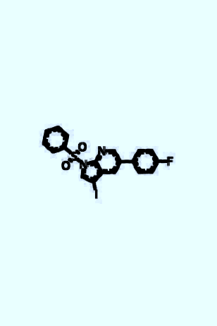 O=S(=O)(c1ccccc1)n1cc(I)c2cc(-c3ccc(F)cc3)cnc21